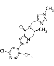 Cc1cnc(Cl)cc1-c1cc2n(c1)C[C@H](C)N(Cc1cn(C)nn1)C2=O